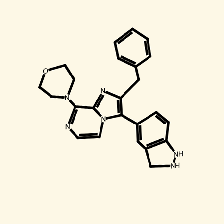 c1ccc(Cc2nc3c(N4CCOCC4)nccn3c2-c2ccc3c(c2)CNN3)cc1